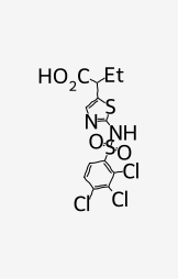 CCC(C(=O)O)c1cnc(NS(=O)(=O)c2ccc(Cl)c(Cl)c2Cl)s1